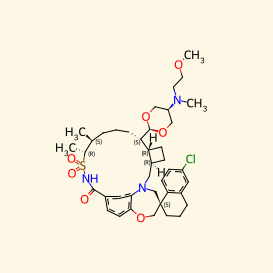 COCCN(C)[C@H]1CO[C@@H]([C@H]2CCC[C@H](C)[C@@H](C)S(=O)(=O)NC(=O)c3ccc4c(c3)N(C[C@@H]3CC[C@H]32)C[C@@]2(CCCc3cc(Cl)ccc32)CO4)OC1